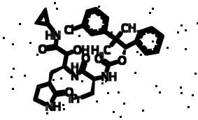 CC(C)C[C@H](NC(=O)O[C@@H](c1ccccc1)C(C)(C)c1cccc(Cl)c1)C(=O)N[C@@H](C[C@@H]1CCNC1=O)C(O)C(=O)NC1CC1